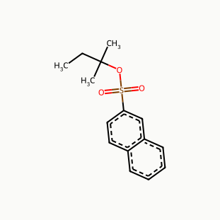 CCC(C)(C)OS(=O)(=O)c1ccc2ccccc2c1